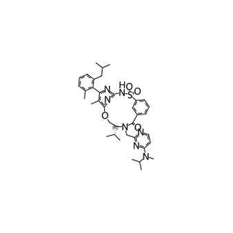 Cc1cccc(CC(C)C)c1-c1nc2nc(c1C)OC[C@@H](C(C)C)N(Cc1nccc(N(C)C(C)C)n1)C(=O)c1cccc(c1)S(=O)(=O)N2